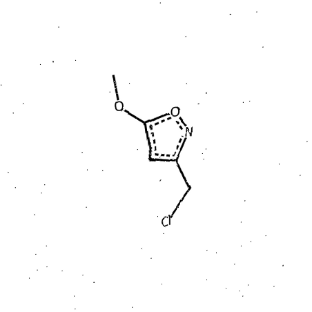 COc1cc(CCl)no1